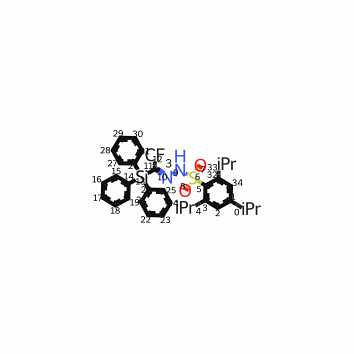 CC(C)c1cc(C(C)C)c(S(=O)(=O)NN=C(C(F)(F)F)[Si](c2ccccc2)(c2ccccc2)c2ccccc2)c(C(C)C)c1